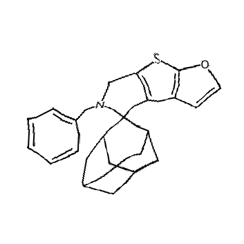 c1ccc(N2Cc3sc4occc4c3C23C2CC4CC(C2)CC3C4)cc1